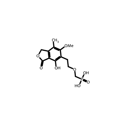 COc1c(C)c2c(c(O)c1CCOCP(=O)(O)O)C(=O)OC2